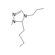 CCCCC1N(CCC)C=NN1C